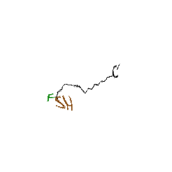 CCCCCCCCCCCCCCCCCC(F)S